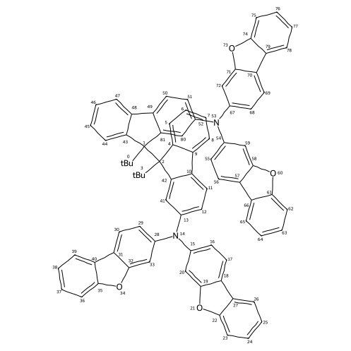 CC(C)(C)C1(C2(C(C)(C)C)c3ccccc3-c3ccc(N(c4ccc5c(c4)oc4ccccc45)c4ccc5c(c4)oc4ccccc45)cc32)c2ccccc2-c2ccc(N(c3ccc4c(c3)oc3ccccc34)c3ccc4c(c3)oc3ccccc34)cc21